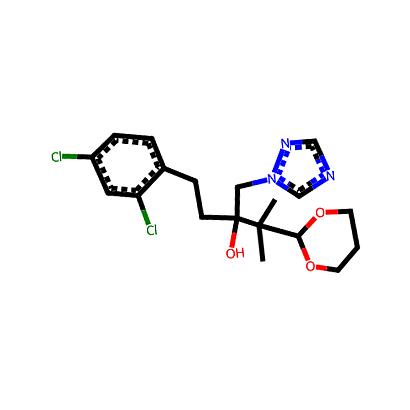 CC(C)(C1OCCCO1)C(O)(CCc1ccc(Cl)cc1Cl)Cn1cncn1